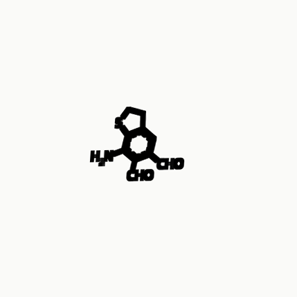 Nc1c(C=O)c(C=O)cc2c1SCC2